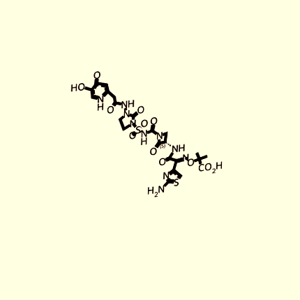 CC(C)(ON=C(C(=O)N[C@H]1CN(C(=O)NS(=O)(=O)N2CCN(NC(=O)Cc3cc(=O)c(O)c[nH]3)C2=O)C1=O)c1csc(N)n1)C(=O)O